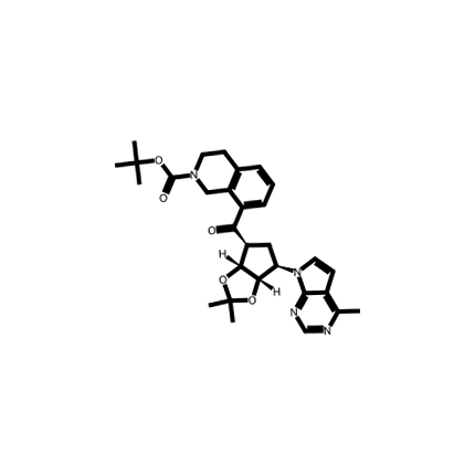 Cc1ncnc2c1ccn2[C@@H]1C[C@H](C(=O)c2cccc3c2CN(C(=O)OC(C)(C)C)CC3)[C@H]2OC(C)(C)O[C@H]21